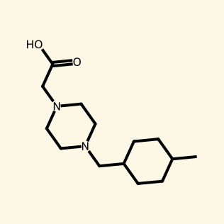 CC1CCC(CN2CCN(CC(=O)O)CC2)CC1